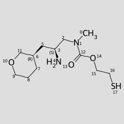 CN(C[C@@H](N)C[C@H]1CCCOC1)C(=O)OCCS